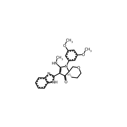 CNC1=C(c2nc3ccccc3[nH]2)C(=O)[C@@]2(CCCOC2)N1c1cc(OC)cc(OC)c1